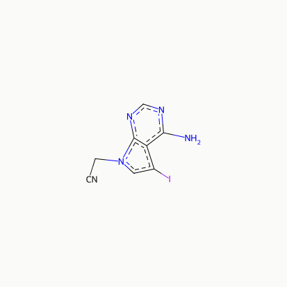 N#CCn1cc(I)c2c(N)ncnc21